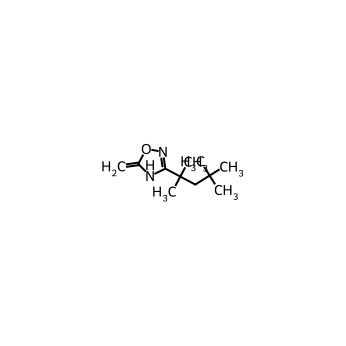 C=C1NC(C(C)(C)CC(C)(C)C)=NO1